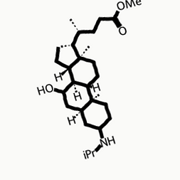 COC(=O)CC[C@@H](C)[C@H]1CC[C@H]2[C@@H]3C(O)C[C@@H]4CC(NC(C)C)CC[C@]4(C)[C@H]3CC[C@]12C